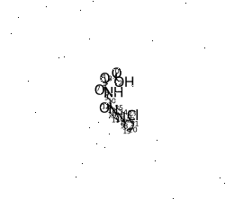 O=C(O)[C@H]1O[C@@H]1C(=O)NCCC(=O)N1CCN(c2ccccc2Cl)CC1